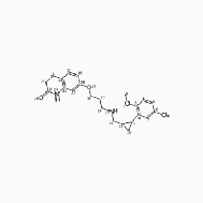 COc1ccc(Cl)cc1C1CC1CNCCCOc1ccc2c(c1)NC(=O)CC2